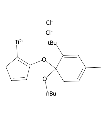 CCCCOC1(OC2=[C]([Ti+2])CC=C2)CC=C(C)C=C1C(C)(C)C.[Cl-].[Cl-]